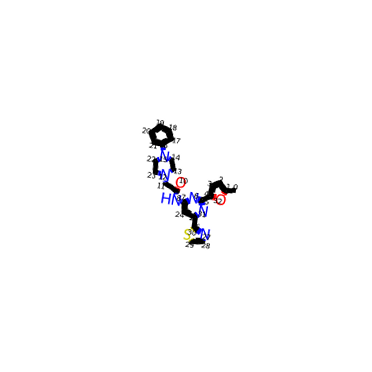 Cc1ccc(-c2nc(NC(=O)CN3CCN(c4ccccc4)CC3)cc(-c3nccs3)n2)o1